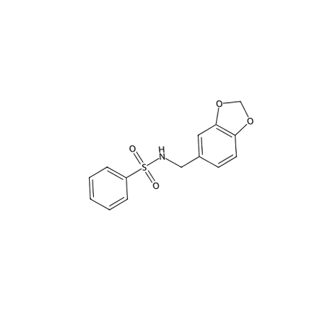 O=S(=O)(NCc1ccc2c(c1)OCO2)c1ccccc1